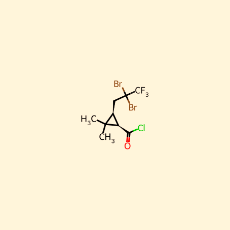 CC1(C)[C@H](C(=O)Cl)[C@@H]1CC(Br)(Br)C(F)(F)F